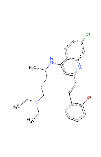 CCN(CC)CCCC(C)Nc1cc(/C=C/c2ccccc2Br)nc2cc(Cl)ccc12